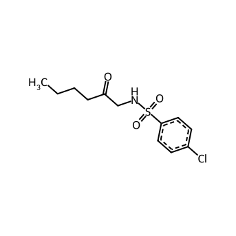 CCCCC(=O)CNS(=O)(=O)c1ccc(Cl)cc1